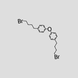 BrCCCCc1ccc(Oc2ccc(CCCCBr)cc2)cc1